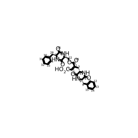 O=C(O)C=C(C[C@@H]1NC(=O)[C@H](Cc2ccccc2)NC1=O)C(=O)OC[C@@H]1NC(=O)[C@H](Cc2ccccc2)NC1=O